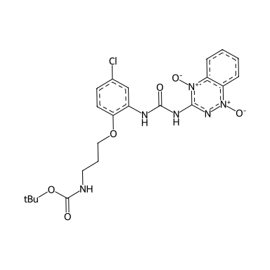 CC(C)(C)OC(=O)NCCCOc1ccc(Cl)cc1NC(=O)Nc1n[n+]([O-])c2ccccc2[n+]1[O-]